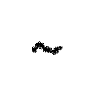 COc1cc2c(cc1OCCCOc1cc3c(cc1OC)C(=O)N1C=C(c4ccc(NC(=O)C(C)NC(=O)C(NC(=O)CCCCCN5C(=O)C=CC5=O)C(C)C)cc4)C[C@H]1C=N3)N=C[C@@H]1CC(c3ccc(F)cc3)=CN1C2=O